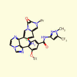 CCOc1cc(C(=O)Nc2cc(C(F)(F)F)n(C)n2)cc(Cl)c1-c1ncn2ccnc(-c3cn4c5oc=5n(C(C)C)cc4cc3N)c12